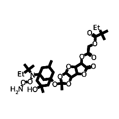 CCC(C)(C)C(=O)OCC(=O)OC1C(=O)OC2C3OC(C)(OC45CC(C)CC(N(OON)C(C)(C)CC)(CC(C)(O)C4)C5)OC3OC12